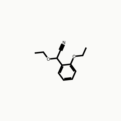 CCOc1ccccc1C(C#N)OCC